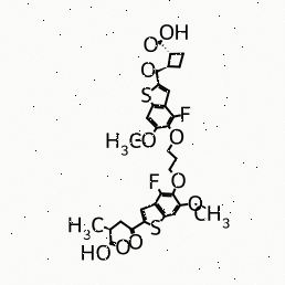 COc1cc2sc(C(=O)C[C@H](C)C(=O)O)cc2c(F)c1OCCCOc1c(OC)cc2sc(C(=O)[C@@H]3CC[C@H]3C(=O)O)cc2c1F